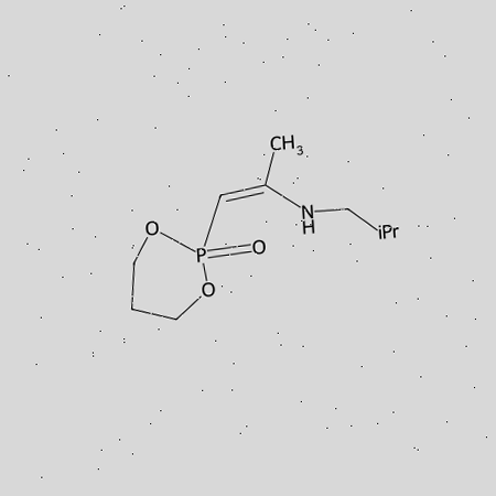 CC(=CP1(=O)OCCCO1)NCC(C)C